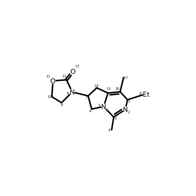 CCC1N=C(C)N2CC(N3CCOC3=O)CC2=C1C